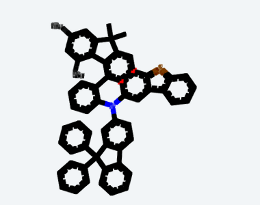 CC(C)(C)c1cc(C(C)(C)C)c2c(c1)C(C)(C)c1cccc(-c3ccccc3N(c3ccc4c(c3)C(c3ccccc3)(c3ccccc3)c3ccccc3-4)c3ccc4sc5ccccc5c4c3)c1-2